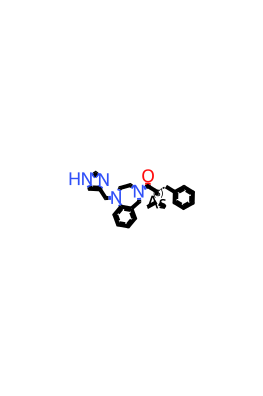 C[As](C)[C@@H](Cc1ccccc1)C(=O)N1CCN(Cc2c[nH]cn2)c2ccccc2C1